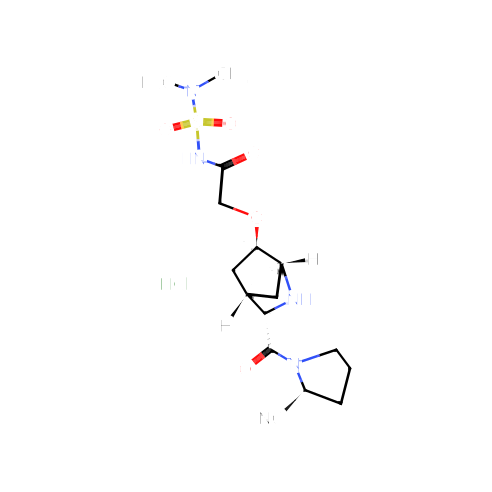 CN(C)S(=O)(=O)NC(=O)CO[C@@H]1C[C@@H]2C[C@H]1N[C@@H]2C(=O)N1CCC[C@H]1C#N.Cl